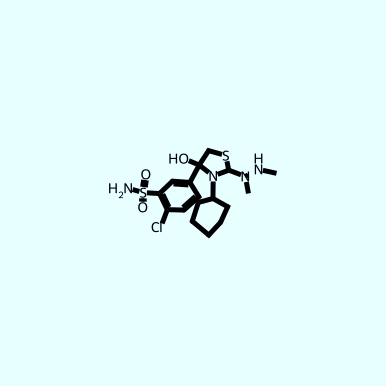 CNN(C)C1SCC(O)(c2ccc(Cl)c(S(N)(=O)=O)c2)N1C1CCCCC1